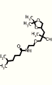 CC(C)CCCC(=O)NCCOCC(C)(C)CC1COC(C)(C)O1